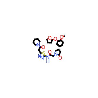 COc1ccc([C@@H]2CC(=O)N(CC(=O)Nc3nnc(CC(=O)N4CCCCC4)s3)C2)cc1OC1CCCO1